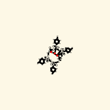 Cc1ccc(S(=O)(=O)N2CCN3CCOCCOCCN(CCN(S(=O)(=O)c4ccc(C)cc4)CC2)C(=O)CN(S(=O)(=O)c2ccc(C)cc2)CC(=O)N(S(=O)(=O)c2ccc(C)cc2)CC3)cc1